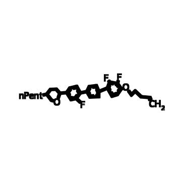 C=CCCCOc1ccc(-c2ccc(-c3ccc(C4CCC(CCCCC)CO4)cc3F)cc2)c(F)c1F